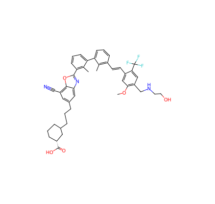 COc1cc(/C=C/c2cccc(-c3cccc(-c4nc5cc(CCCC6CCC[C@@H](C(=O)O)C6)cc(C#N)c5o4)c3C)c2C)c(C(F)(F)F)cc1CNCCO